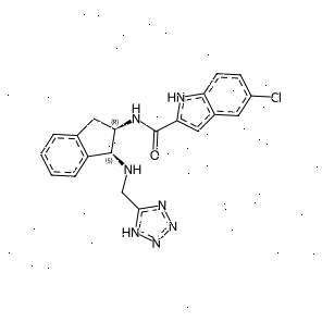 O=C(N[C@@H]1Cc2ccccc2[C@@H]1NCc1nnn[nH]1)c1cc2cc(Cl)ccc2[nH]1